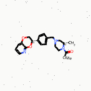 COC(=O)N1CCN(Cc2ccc([C@H]3COc4cccnc4O3)cc2)C[C@@H]1C